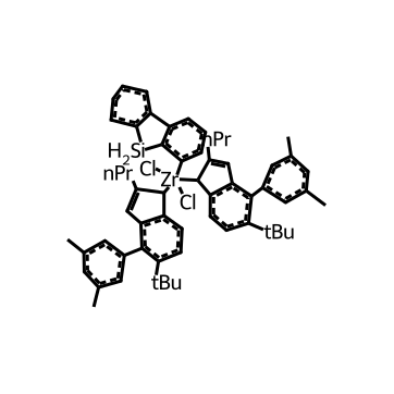 CCCC1=Cc2c(ccc(C(C)(C)C)c2-c2cc(C)cc(C)c2)[CH]1[Zr]([Cl])([Cl])([c]1cccc2c1[SiH2]c1ccccc1-2)[CH]1C(CCC)=Cc2c1ccc(C(C)(C)C)c2-c1cc(C)cc(C)c1